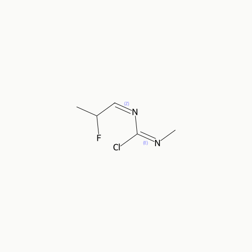 C/N=C(Cl)\N=C/C(C)F